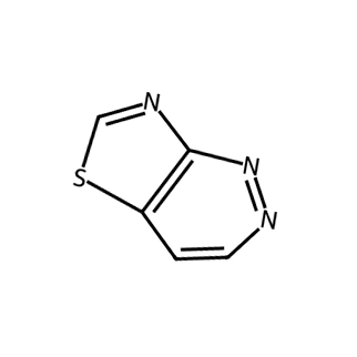 c1cc2scnc2nn1